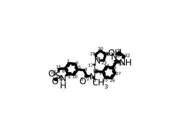 CN(C(=O)Cc1ccc2c(c1)NS(=O)(=O)C2)[C@H](CN1CC[C@@H](O)C1)c1cccc(-c2ncc[nH]2)c1